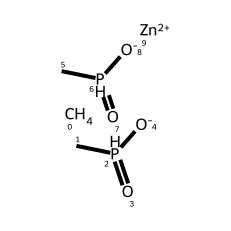 C.C[PH](=O)[O-].C[PH](=O)[O-].[Zn+2]